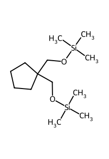 C[Si](C)(C)OCC1(CO[Si](C)(C)C)CCCC1